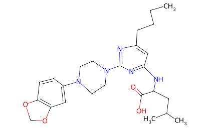 CCCCc1cc(NC(CC(C)C)C(=O)O)nc(N2CCN(c3ccc4c(c3)OCO4)CC2)n1